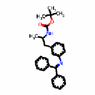 CC(Cc1cccc(N=C(c2ccccc2)c2ccccc2)c1)NC(=O)OC(C)(C)C